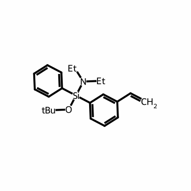 C=Cc1cccc([Si](OC(C)(C)C)(c2ccccc2)N(CC)CC)c1